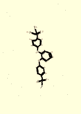 FC(F)(F)c1ccc(Oc2ccccc2Oc2ccc(C(F)(F)F)cc2)cc1